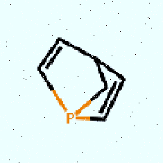 C1=CP2C=CC1C2